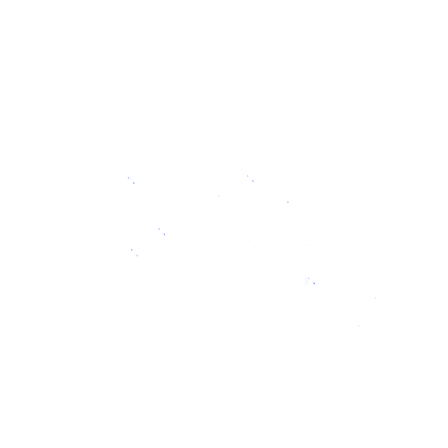 O=C(NC1CC1)C(=O)[C@@H](Cc1ccccc1)NC(=O)c1cccnc1-n1cc(F)c(-c2ccccc2)n1